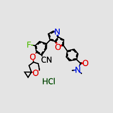 CN(C)C(=O)c1ccc(-c2cc3nccc(-c4cc(F)c(OC5CCOC6(CC6)C5)c(C#N)c4)c3o2)cc1.Cl